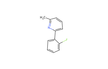 Cc1cccc(-c2ccccc2F)n1